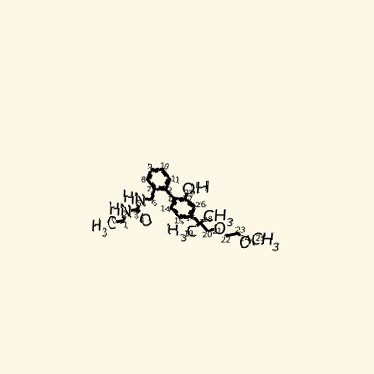 CCNC(=O)NCc1ccccc1-c1ccc(C(C)(C)COCCOC)cc1O